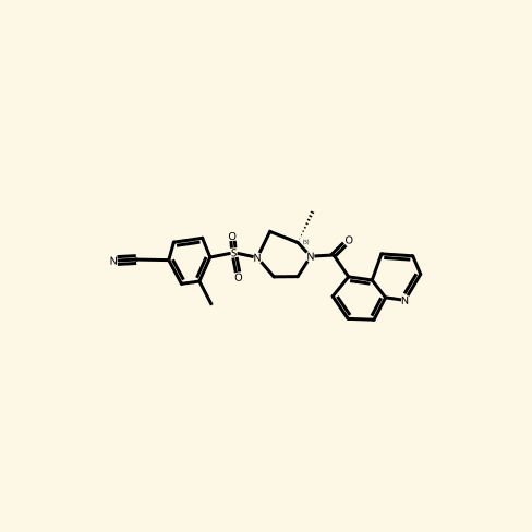 Cc1cc(C#N)ccc1S(=O)(=O)N1CCN(C(=O)c2cccc3ncccc23)[C@@H](C)C1